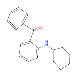 O=C(c1ccccc1)c1ccccc1NC1CCCCC1